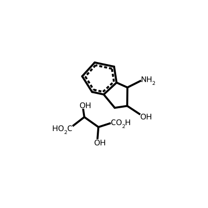 NC1c2ccccc2CC1O.O=C(O)C(O)C(O)C(=O)O